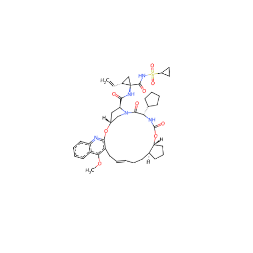 C=C[C@@H]1C[C@]1(NC(=O)[C@@H]1C[C@@H]2CN1C(=O)[C@H](C1CCCC1)NC(=O)O[C@@H]1CCC[C@H]1CC/C=C/Cc1c(nc3ccccc3c1OC)O2)C(=O)NS(=O)(=O)C1CC1